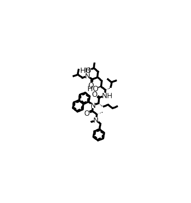 CCCC[C@@H](C(=O)N[C@@H](CC(C)C)[C@@H](O)CC(CC(C)O)C(=O)NCC(C)C)N(C(=O)[C@H](C)N(C)Cc1ccccc1)c1cccc2ccccc12